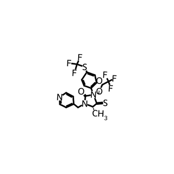 C[C@H]1C(=S)[N+](OC(=O)C(F)(F)F)(c2ccc(SC(F)(F)F)cc2)C(=O)N1Cc1ccncc1